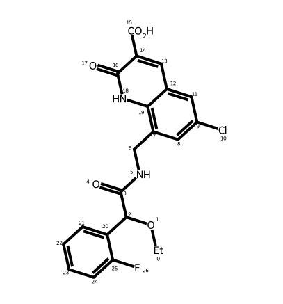 CCOC(C(=O)NCc1cc(Cl)cc2cc(C(=O)O)c(=O)[nH]c12)c1ccccc1F